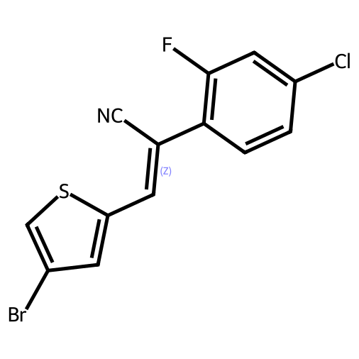 N#C/C(=C\c1cc(Br)cs1)c1ccc(Cl)cc1F